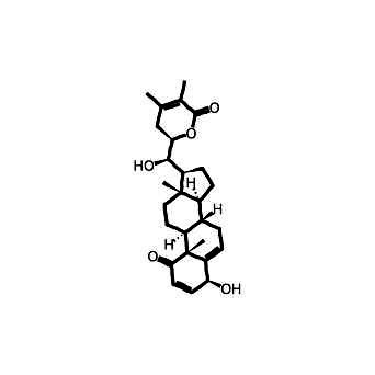 CC1=C(C)C(=O)O[C@@H]([C@H](O)[C@H]2CC[C@H]3[C@@H]4CC=C5[C@@H](O)C=CC(=O)[C@]5(C)[C@H]4CC[C@]23C)C1